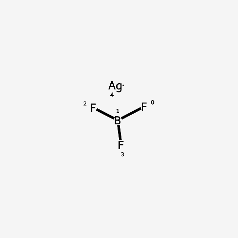 FB(F)F.[Ag]